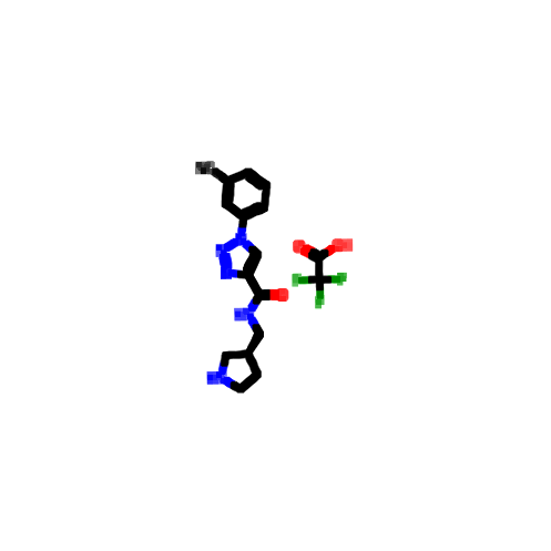 N#Cc1cccc(-n2cc(C(=O)NC[C@H]3CCNC3)nn2)c1.O=C(O)C(F)(F)F